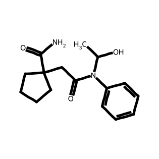 CC(O)N(C(=O)CC1(C(N)=O)CCCC1)c1ccccc1